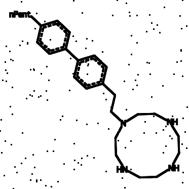 CCCCCc1ccc(-c2ccc(CCN3CCNCCNCCNCC3)cc2)cc1